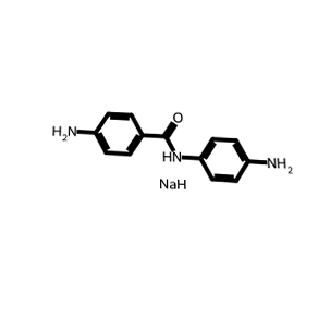 Nc1ccc(NC(=O)c2ccc(N)cc2)cc1.[NaH]